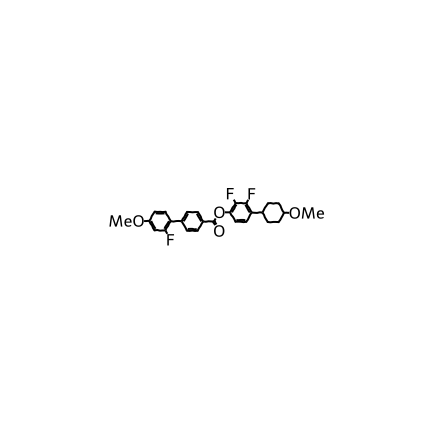 COc1ccc(-c2ccc(C(=O)Oc3ccc(C4CCC(OC)CC4)c(F)c3F)cc2)c(F)c1